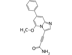 COc1cc(-c2ccccc2)cc2ncc(C#CC(N)=O)n12